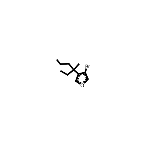 CCCC(C)(CC)c1cocc1Br